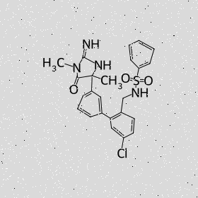 CN1C(=N)NC(C)(c2cccc(-c3cc(Cl)ccc3CNS(=O)(=O)c3ccccc3)c2)C1=O